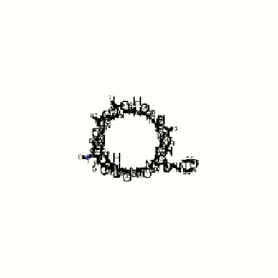 C/C=C/C[C@@H](C)[C@@H](O)C1C(=O)N[C@@H](CC)C(=O)N(C)[C@H](C)C(=O)N(C)[C@@H]([C@H](C)COCCN2CCOCC2)C(=O)N[C@@H](C(C)C)C(=O)N(C)[C@@H](CC(C)C)C(=O)N[C@@H](C)C(=O)N[C@H](C)C(=O)N(C)[C@@H](CC(C)C)C(=O)N(C)[C@@H](CC(C)C)C(=O)N(C)[C@@H](C(C)C)C(=O)N1C